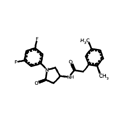 Cc1ccc(C)c(CC(=O)NC2CC(=O)N(c3cc(F)cc(F)c3)C2)c1